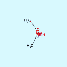 CCCCCCCCCCCCCCCC(=O)OCC(COP(C)(=O)O)OC(=O)CCCCCCCCCCCCCCC